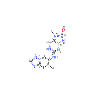 Cc1cc2ncnn2cc1Nc1ncc2c(n1)[nH]c(=O)n2C